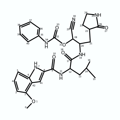 COc1cccc2[nH]c(C(=O)NC(CC(C)C)C(=O)NC(CC3CCNC3=O)C(C#N)OC(=O)Nc3ccccc3)cc12